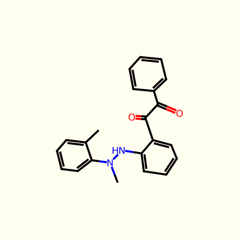 Cc1ccccc1N(C)Nc1ccccc1C(=O)C(=O)c1ccccc1